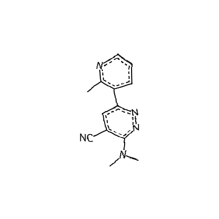 Cc1ncccc1-c1cc(C#N)c(N(C)C)nn1